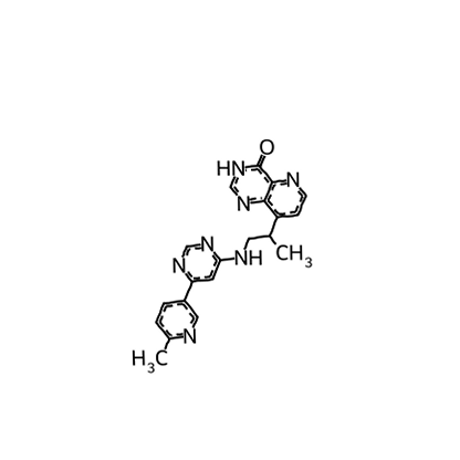 Cc1ccc(-c2cc(NCC(C)c3ccnc4c(=O)[nH]cnc34)ncn2)cn1